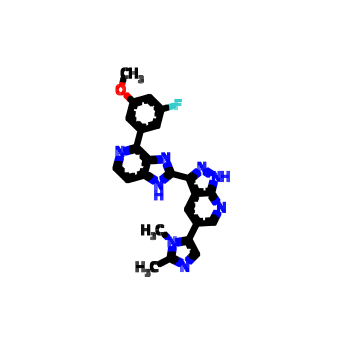 COc1cc(F)cc(-c2nccc3[nH]c(-c4n[nH]c5ncc(-c6cnc(C)n6C)cc45)nc23)c1